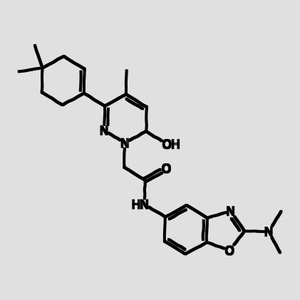 CC1=CC(O)N(CC(=O)Nc2ccc3oc(N(C)C)nc3c2)N=C1C1=CCC(C)(C)CC1